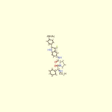 CC(=O)Nc1ccc(-c2[nH]c3ccc(NC(=O)[C@@H]4CCCN4C(=O)C(NC(=O)O)c4ccccc4)cc3c2F)cc1